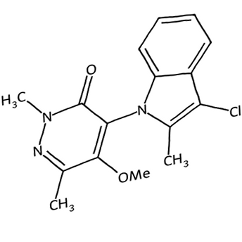 COc1c(C)nn(C)c(=O)c1-n1c(C)c(Cl)c2ccccc21